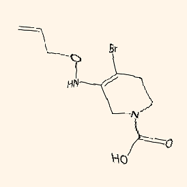 C=CCONC1=C(Br)CCN(C(=O)O)C1